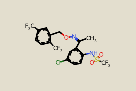 CC(=NOCc1cc(C(F)(F)F)ccc1C(F)(F)F)c1cc(Cl)ccc1NS(=O)(=O)C(F)(F)F